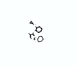 NC1([C@H]2CC[C@H](N)CC2)N=C(Nc2ccccc2S(=O)(=O)C2CC2)C(Cl)=CN1